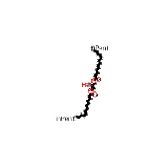 CCCCC/C=C/C/C=C\CCCCCCCC(=O)OCC(O)COC(=O)CCCCCCC/C=C\C/C=C/CCCCC